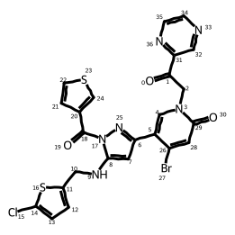 O=C(Cn1cc(-c2cc(NCc3ccc(Cl)s3)n(C(=O)c3ccsc3)n2)c(Br)cc1=O)c1cnccn1